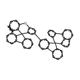 c1ccc2c(c1)-c1ccccc1C21c2cc(-c3ccc4c(c3)C3(c5ccccc5-4)c4ccccc4-c4cccc5cccc3c45)ccc2Oc2ccc3ccccc3c21